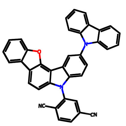 N#Cc1ccc(C#N)c(-n2c3ccc(-n4c5ccccc5c5ccccc54)cc3c3c4oc5ccccc5c4ccc32)c1